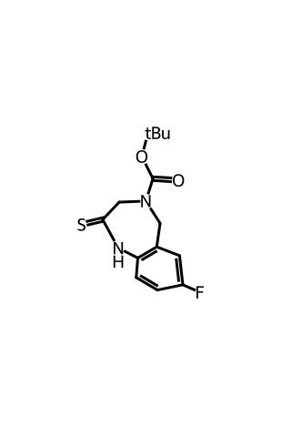 CC(C)(C)OC(=O)N1CC(=S)Nc2ccc(F)cc2C1